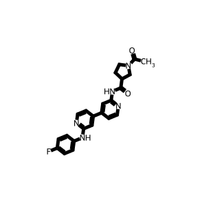 CC(=O)N1CCC(C(=O)Nc2cc(-c3ccnc(Nc4ccc(F)cc4)c3)ccn2)C1